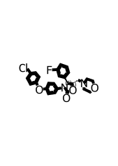 O=C1O[C@@H](CN2CCOCC2)[C@H](c2cccc(F)c2)N1c1ccc(Oc2ccc(Cl)cc2)cc1